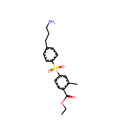 CCOC(=O)c1ccc(S(=O)(=O)c2ccc(CCCN)cc2)cc1C